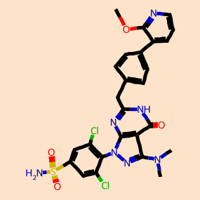 COc1ncccc1-c1ccc(Cc2nc3c(c(N(C)C)nn3-c3c(Cl)cc(S(N)(=O)=O)cc3Cl)c(=O)[nH]2)cc1